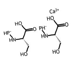 O=C(O)[C@H](CO)N[PH-].O=C(O)[C@H](CO)N[PH-].[Ca+2]